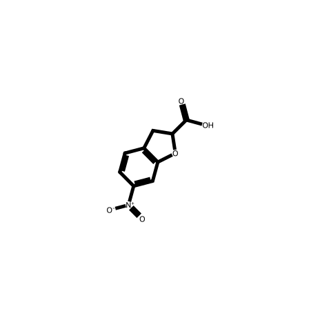 O=C(O)C1Cc2ccc([N+](=O)[O-])cc2O1